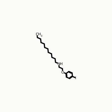 CCCCCCCCCCCCNCCOc1ccc(I)cc1